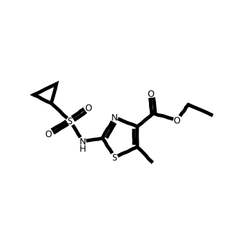 CCOC(=O)c1nc(NS(=O)(=O)C2CC2)sc1C